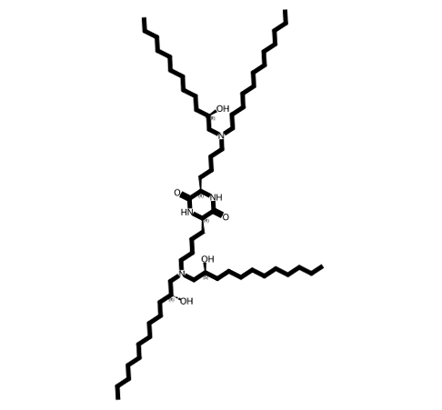 CCCCCCCCCCCCN(CCCC[C@H]1NC(=O)[C@@H](CCCCN(C[C@H](O)CCCCCCCCCC)C[C@@H](O)CCCCCCCCCC)NC1=O)C[C@H](O)CCCCCCCCCC